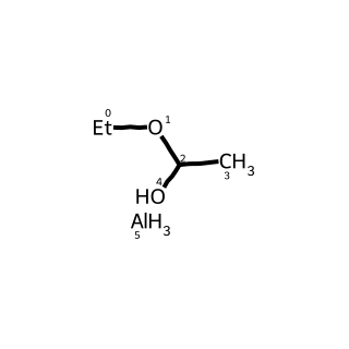 CCOC(C)O.[AlH3]